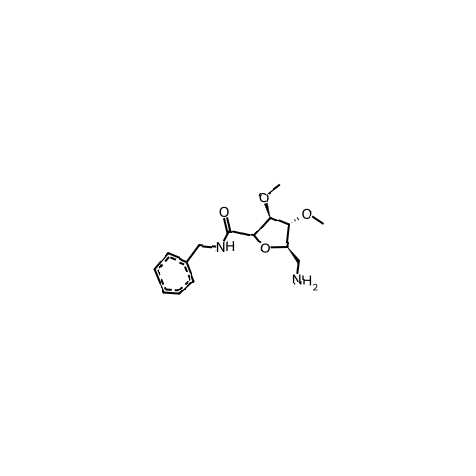 CO[C@H]1[C@H](OC)C(C(=O)NCc2ccccc2)O[C@@H]1CN